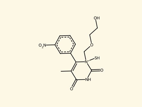 CC1=C(c2cccc([N+](=O)[O-])c2)[N+](S)(COCCO)C(=O)NC1=O